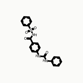 O=C(Nc1ccccc1)Nc1ccc(C(=O)NS(=O)(=O)c2ccccc2)cc1